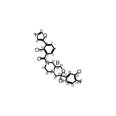 O=C(c1cccc(-c2cnco2)c1Cl)N1CCN2C[C@@](O)(c3ccc(F)c(Cl)c3)OC[C@@H]2C1